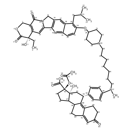 CC[C@@]1(O)C(=O)OCc2c1cc1n(c2=O)Cc2cc3c(CN(C)C)c(OC4CCN(CCCCCCCN(C)c5ccc([C@H]6C[C@@]7(C)C(CC[C@]7(OC(C)=O)C(C)=O)C7CCC8=CC(=O)CCC8=C76)cc5)CC4)ccc3nc2-1